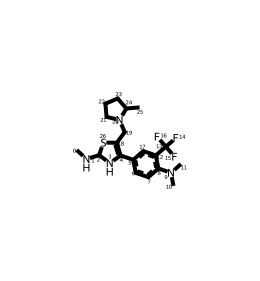 CNC1NC(c2ccc(N(C)C)c(C(F)(F)F)c2)=C(CN2CCCC2C)S1